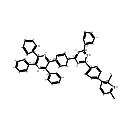 Cc1ccc(-c2ccc(-c3nc(-c4ccccc4)nc(C4C=CC(c5nc(-c6ccccc6)c(-c6ccccc6)nc5-c5ccccc5)=CC4)n3)cc2)c(C)n1